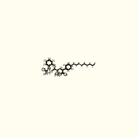 CCCCCCCCCc1ccc(C(CC(O)C(C)Sc2ccccc2NC(C)=O)C(=O)O)cc1